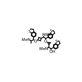 CNC(C)C(OC1CC(C(NC)C(OC2CC2C(NC)C(O)c2ccc3c(c2)SCC3)c2ccc3c(c2)SCC3)C1)c1ccc2c(c1)SCC2